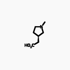 CN1CC[C@H](CC(=O)O)C1